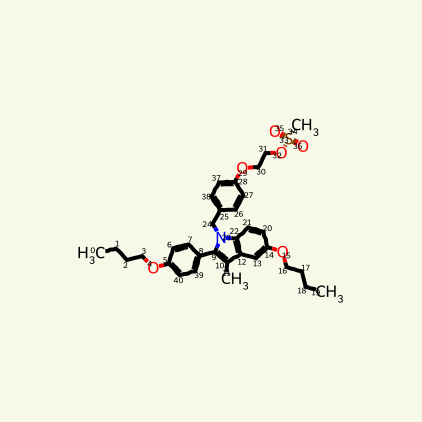 CCCCOc1ccc(-c2c(C)c3cc(OCCCC)ccc3n2Cc2ccc(OCCOS(C)(=O)=O)cc2)cc1